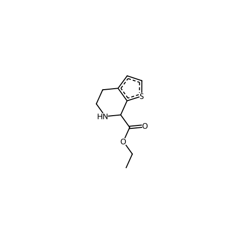 CCOC(=O)C1NCCc2ccsc21